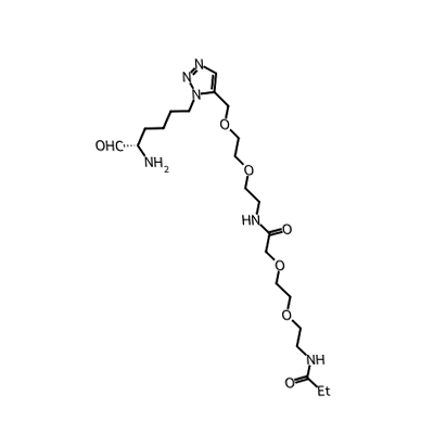 CCC(=O)NCCOCCOCC(=O)NCCOCCOCc1cnnn1CCCC[C@H](N)C=O